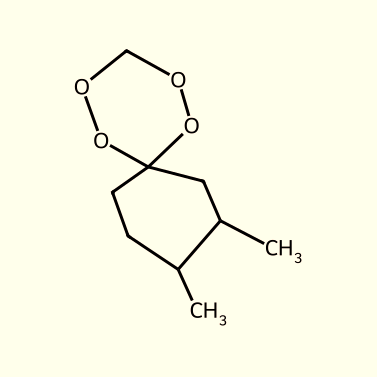 CC1CCC2(CC1C)OOCOO2